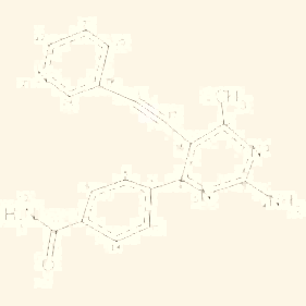 Cc1nc(N)nc(-c2ccc(C(N)=O)cc2)c1C#Cc1cccnc1